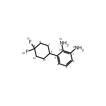 Nc1cccc(C2CCC(F)(F)CC2)c1N